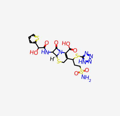 NS(=O)(=O)CCC(Sc1nnn[nH]1)C1=C(C(=O)O)N2C(=O)C(NC(=O)C(O)c3cccs3)[C@@H]2SC1